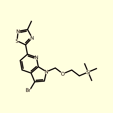 Cc1nsc(-c2ccc3c(Br)cn(COCC[Si](C)(C)C)c3n2)n1